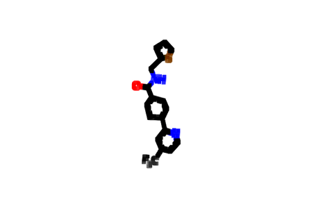 O=C(NCc1cccs1)c1ccc(-c2cc(C(F)(F)F)ccn2)cc1